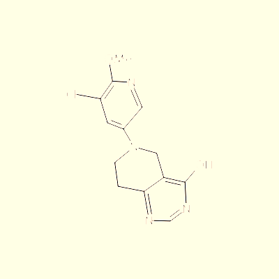 COc1ncc(N2CCc3ncnc(O)c3C2)cc1Cl